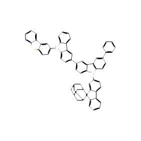 c1ccc(-c2ccc3c(c2)c2cc(-c4ccc5c(c4)c4ccccc4n5-c4ccc5sc6ccccc6c5c4)ccc2n3-c2ccc3c(c2)C2(c4ccccc4-3)C3CC4CC(C3)CC2C4)cc1